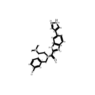 CN(C)CCN(Cc1cccc(F)c1)C(=O)c1nc2ccc(-c3cn[nH]c3)cc2s1